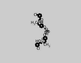 CC(Cc1ccc(OCO[PH](=O)OCOc2ccc(CC(C)NCC(O)c3cccc(Cl)c3)cc2)cc1)NCC(O)c1cccc(Cl)c1